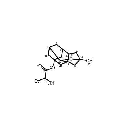 CCC(CC)C(=O)OC12CC3CC(C1)C1CC4(O)CC3C1(C4)C2